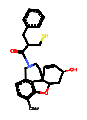 COc1ccc2c3c1OC1C[C@@H](O)C=CC31CCN(C(=O)C(CS)Cc1ccccc1)C2